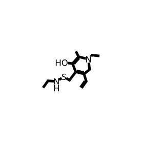 C=CC1=C(CSNCC)C(O)=C(C)N(CC)C1